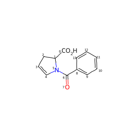 O=C(O)C1CC=CN1C(=O)c1ccccc1